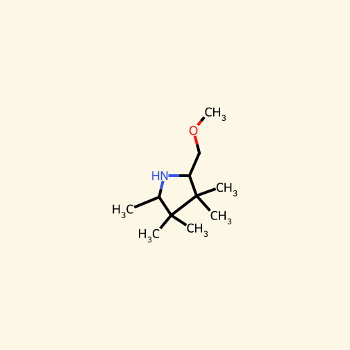 COCC1NC(C)C(C)(C)C1(C)C